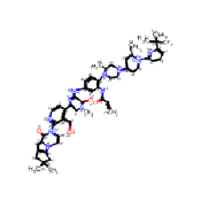 C=CC(=O)Nc1cc(Nc2nc(-c3ccnc(N4CCn5c(cc6c5CC(C)(C)C6)C4=O)c3CO)cn(C)c2=O)ccc1N1CCN(C2CCN(c3cccc(C(C)(C)C(F)(F)F)n3)[C@H](C)C2)C[C@@H]1C